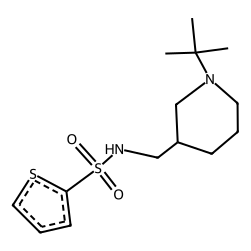 CC(C)(C)N1CCCC(CNS(=O)(=O)c2cccs2)C1